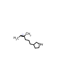 C/C=C(/C)CCCC1CCNC1